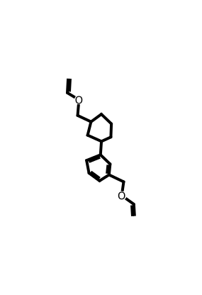 C=COCc1cccc(C2CCCC(COC=C)C2)c1